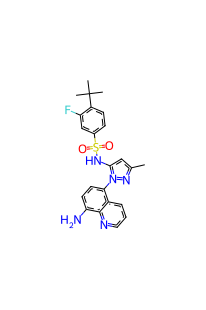 Cc1cc(NS(=O)(=O)c2ccc(C(C)(C)C)c(F)c2)n(-c2ccc(N)c3ncccc23)n1